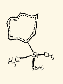 C[Si](C)([SbH2])c1ccccc1